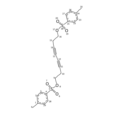 Cc1ccc(S(=O)(=O)OCCC#CC#CCCOS(=O)(=O)c2ccc(C)cc2)cc1